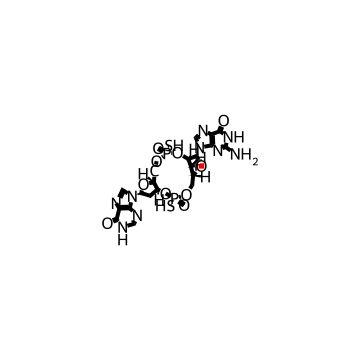 Nc1nc2c(ncn2[C@@H]2O[C@@H]3CO[P@@](=O)(S)O[C@H]4C[C@H](n5cnc6c(=O)[nH]cnc65)O[C@@H]4CO[P@@](=O)(S)O[C@@H]2[C@@H]3F)c(=O)[nH]1